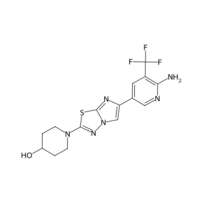 Nc1ncc(-c2cn3nc(N4CCC(O)CC4)sc3n2)cc1C(F)(F)F